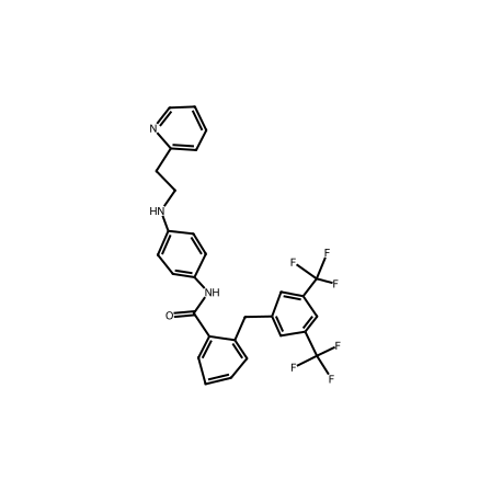 O=C(Nc1ccc(NCCc2ccccn2)cc1)c1ccccc1Cc1cc(C(F)(F)F)cc(C(F)(F)F)c1